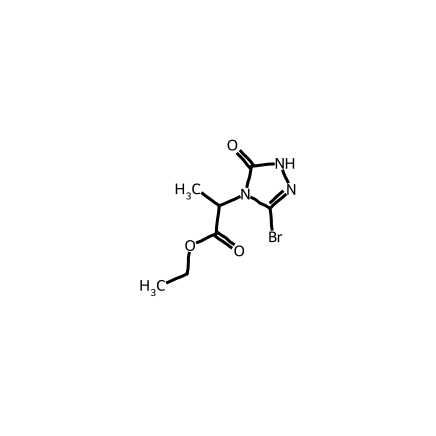 CCOC(=O)C(C)n1c(Br)n[nH]c1=O